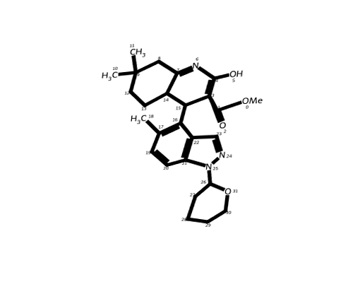 COC(=O)C1=C(O)N=C2CC(C)(C)CCC2C1c1c(C)ccc2c1cnn2C1CCCCO1